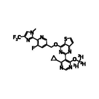 [2H]C([2H])([2H])Oc1ncnc(C2CC2)c1-c1nc(OCc2cnc(-c3nc(C(F)(F)F)cn3C)c(F)c2)c2sccc2n1